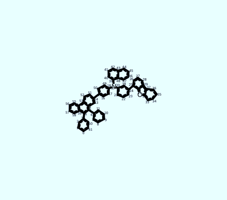 c1ccc(-c2c(-c3ccccc3)c3cc(-c4ccc(N(c5cccc(-c6cccc7c6oc6ccccc67)c5)c5cccc6ccccc56)cc4)ccc3c3ccccc23)cc1